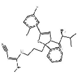 CN/C(=N/C#N)NCCCC1(c2ccccc2)SC(c2cc(F)ccc2F)=NN1C(=O)[C@@H](N)C(C)C